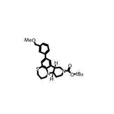 COCc1cccc(-c2cc3c4c(c2)[C@@H]2CN(C(=O)OC(C)(C)C)CC[C@@H]2N4CCCS3)c1